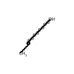 CCCCCCCCCc1ccc(OCCOCCOCCOCCOCCOCCOCCOCCO)cc1